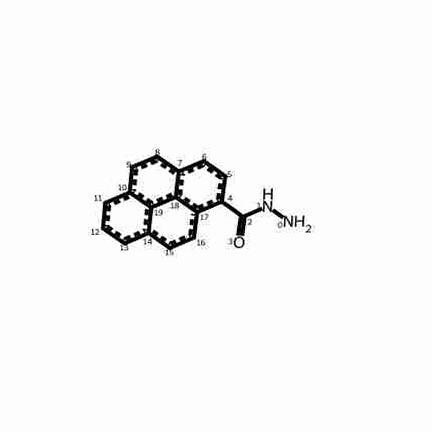 NNC(=O)c1ccc2ccc3cccc4ccc1c2c34